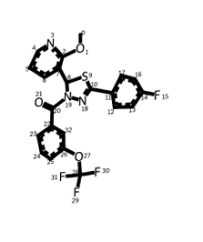 COc1ncccc1C1SC(c2ccc(F)cc2)=NN1C(=O)c1cccc(OC(F)(F)F)c1